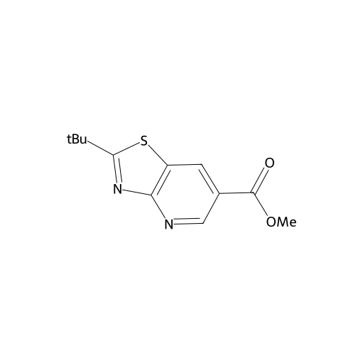 COC(=O)c1cnc2nc(C(C)(C)C)sc2c1